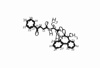 CC1C(=O)N(NC(=O)[C@H](C)NC(=O)CCC(=O)c2ccccc2)c2ccccc2-c2ccccc21